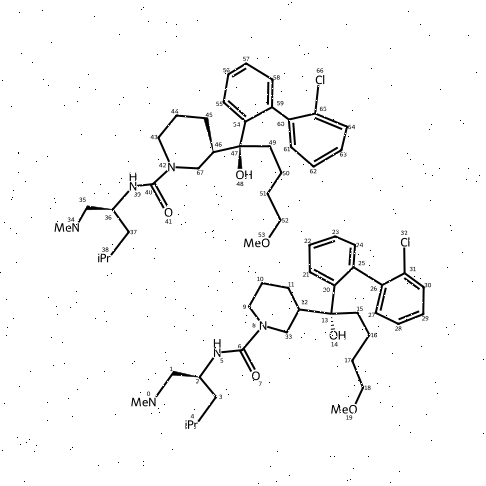 CNC[C@H](CC(C)C)NC(=O)N1CCCC([C@](O)(CCCCOC)c2ccccc2-c2ccccc2Cl)C1.CNC[C@H](CC(C)C)NC(=O)N1CCC[C@@H]([C@@](O)(CCCCOC)c2ccccc2-c2ccccc2Cl)C1